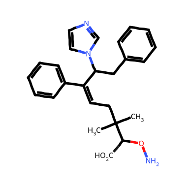 CC(C)(CC=C(c1ccccc1)C(Cc1ccccc1)n1ccnc1)C(ON)C(=O)O